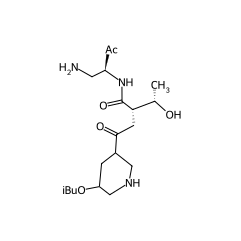 CC(=O)[C@H](CN)NC(=O)[C@@H](CC(=O)C1CNCC(OCC(C)C)C1)[C@H](C)O